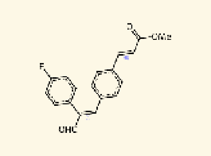 COC(=O)/C=C/c1ccc(/C=C(/C=O)c2ccc(F)cc2)cc1